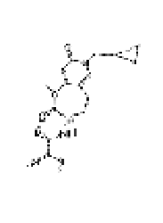 C=NC(=N)C(=O)N[C@H]1CCc2cn(CC3CC3)c(=O)cc2N(C)C1=O